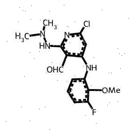 COc1c(F)cccc1Nc1cc(Cl)nc(NN(C)C)c1C=O